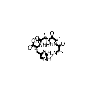 C[C@H](N)C(=O)N[C@@H](C)C(=O)N[C@@H](C)C(=O)N[C@@H](Cc1c[nH]cn1)C(=O)O